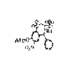 CCCCC1(CC)CS(=O)(=O)c2cc(OC)c([N+](=O)[O-])cc2C(c2ccccc2)N1